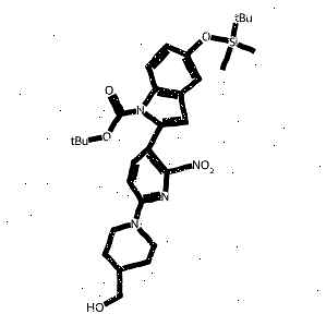 CC(C)(C)OC(=O)n1c(-c2ccc(N3CCC(CO)CC3)nc2[N+](=O)[O-])cc2cc(O[Si](C)(C)C(C)(C)C)ccc21